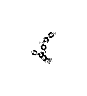 CS(=O)(=O)Nc1cnc2cc(N3CCOCC3)nc(O[C@H]3CC[C@@H](Nc4ncc(N5CCNCC5)cn4)CC3)c2c1